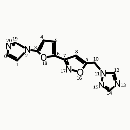 c1cn(-c2ccc(-c3cc(Cn4cncn4)on3)o2)cn1